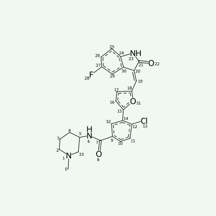 CN1CCCC(NC(=O)c2ccc(Cl)c(-c3ccc(/C=C4/C(=O)Nc5ccc(F)cc54)o3)c2)C1